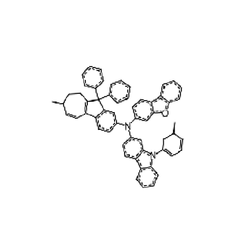 CC1C=CC2=C(CC1)C(c1ccccc1)(c1ccccc1)c1cc(N(c3ccc4c(c3)oc3ccccc34)c3ccc4c5ccccc5n(C5=CC=CC(C)C5)c4c3)ccc12